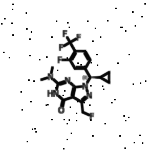 CN(C)c1nc2c(c(CF)nn2[C@@H](c2ccc(C(F)(F)F)c(F)c2)C2CC2)c(=O)[nH]1